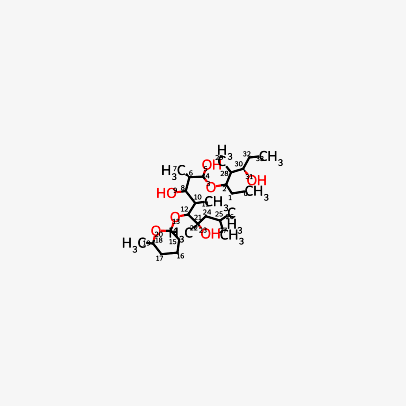 CCC(OC(O)[C@H](C)C(O)C(C)C(O[C@H]1CCCC(C)O1)[C@@](C)(O)CC(C)C)C(C)[C@H](O)CC